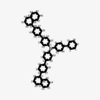 c1ccc(-c2ccc(N(c3ccc(-c4ccc(-c5cccc6ccccc56)cc4)cc3)c3ccc(-c4ccc(-c5cccc6ccccc56)cc4)cc3)cc2)cc1